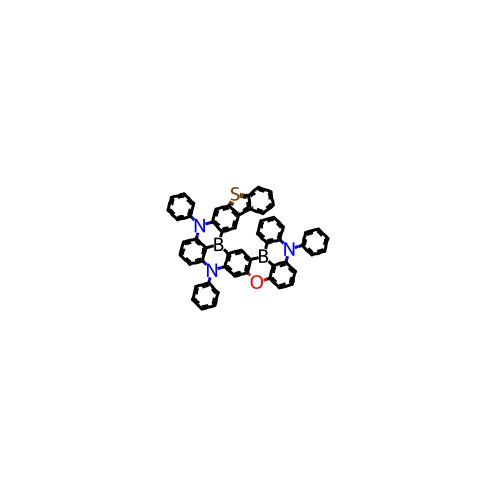 c1ccc(N2c3ccccc3B3c4cc5c(cc4Oc4cccc2c43)N(c2ccccc2)c2cccc3c2B5c2cc4c(cc2N3c2ccccc2)sc2ccccc24)cc1